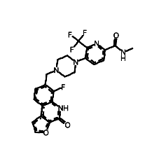 CNC(=O)c1ccc(N2CCN(Cc3ccc4c([nH]c(=O)c5occc54)c3F)CC2)c(C(F)(F)F)n1